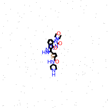 NC(=O)N(c1cccc2c1C(=O)c1c-2n[nH]c1-c1ccc(C(=O)NC2CCNCC2)s1)N1CCOCC1